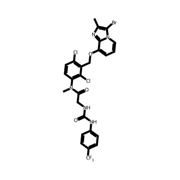 Cc1nc2c(OCc3c(Cl)ccc(N(C)C(=O)CNC(=O)Nc4ccc(C(F)(F)F)cc4)c3Cl)cccn2c1Br